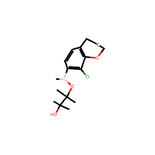 CB(OC(C)(C)C(C)(C)O)c1ccc2c(c1Cl)OCCC2